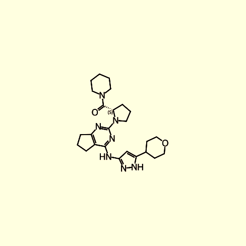 O=C([C@@H]1CCCN1c1nc2c(c(Nc3cc(C4CCOCC4)[nH]n3)n1)CCC2)N1CCCCC1